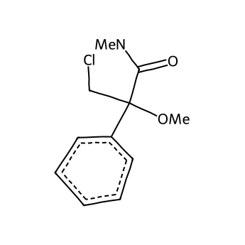 CNC(=O)C(CCl)(OC)c1ccccc1